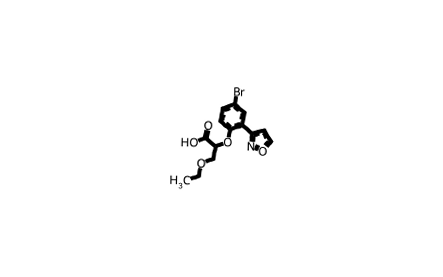 CCOCC(Oc1ccc(Br)cc1-c1ccon1)C(=O)O